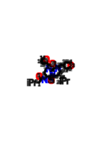 CC(C)CC(=O)N[C@H]1CCN(C(=O)c2ccco2)C2CN(CC3CCOCC3)C[C@H](CC(C)C)CN2C1=O